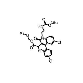 CCCC(C(=O)OCOCC)c1c(-c2ccc(Cl)cc2)c2cc(Cl)ccc2n(CCNC(=O)OC(C)(C)C)c1=O